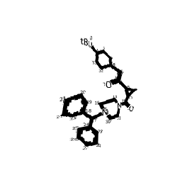 CC(C)(C)C1CCC(CC(=O)C2CC2C(=O)N2CCN(C(c3ccccc3)c3ccccc3)CC2)CC1